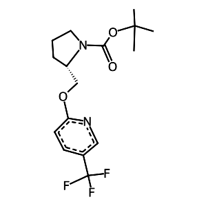 CC(C)(C)OC(=O)N1CCC[C@H]1COc1ccc(C(F)(F)F)cn1